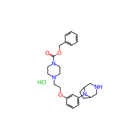 Cl.O=C(OCc1ccccc1)N1CCN(CCOc2cccc(N3C4CCC3CNC4)c2)CC1